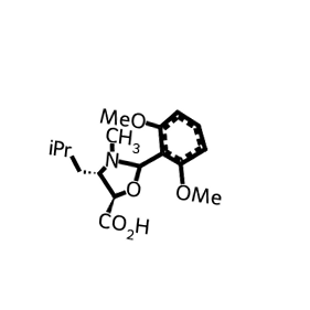 COc1cccc(OC)c1C1O[C@@H](C(=O)O)[C@H](CC(C)C)N1C